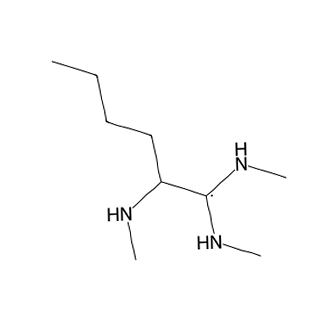 CCCCC(NC)[C](NC)NC